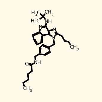 CCCCCC(=O)NCc1ccc(Cn2c(CCCC)nc3c(NC(C)(C)C)nc4ccccc4c32)cc1